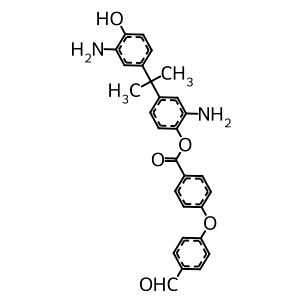 CC(C)(c1ccc(O)c(N)c1)c1ccc(OC(=O)c2ccc(Oc3ccc(C=O)cc3)cc2)c(N)c1